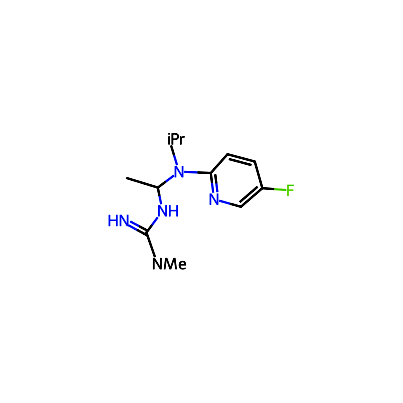 CNC(=N)NC(C)N(c1ccc(F)cn1)C(C)C